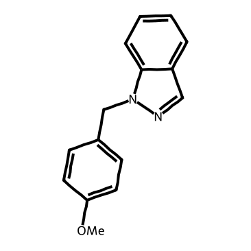 COc1ccc(Cn2ncc3ccccc32)cc1